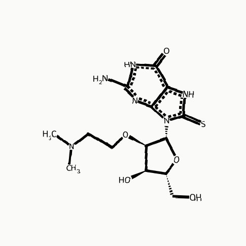 CN(C)CCO[C@@H]1[C@H](O)[C@@H](CO)O[C@H]1n1c(=S)[nH]c2c(=O)[nH]c(N)nc21